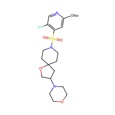 COc1cc(S(=O)(=O)N2CCC3(CC2)CC(N2CCOCC2)CO3)c(F)cn1